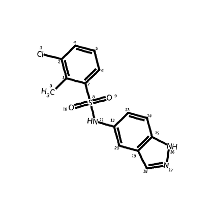 Cc1c(Cl)cccc1S(=O)(=O)Nc1ccc2[nH]ncc2c1